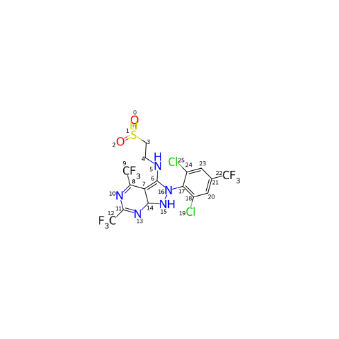 O=[SH](=O)CCNC1=C2C(C(F)(F)F)=NC(C(F)(F)F)=NC2NN1c1c(Cl)cc(C(F)(F)F)cc1Cl